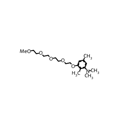 COCCOCCOCCOCCOc1cc(C)cc(N(C)C)c1C